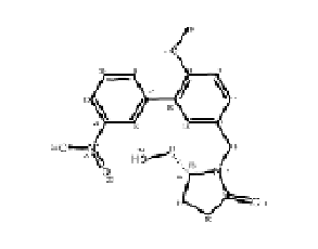 COc1ccc(CN2C(=O)CC[C@@H]2CO)cc1-c1cccc([N+](=O)[O-])c1